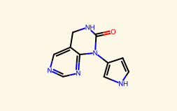 O=C1NCc2cncnc2N1c1cc[nH]c1